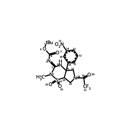 CN1/C(=N/C(=O)OC(C)(C)C)NC2(c3cccc([N+](=O)[O-])c3)CN(C(=O)C(F)(F)F)CC2S1(=O)=O